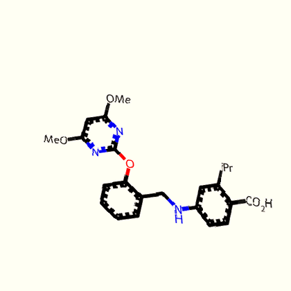 COc1cc(OC)nc(Oc2ccccc2CNc2ccc(C(=O)O)c(C(C)C)c2)n1